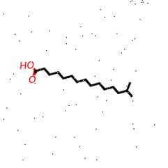 CC(C)CCCCCCCCCCCCC(=O)O